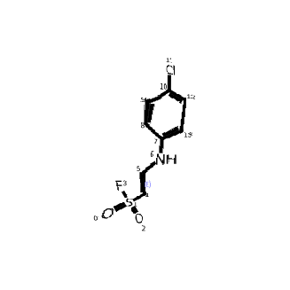 O=S(=O)(F)/C=C/Nc1ccc(Cl)cc1